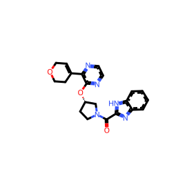 O=C(c1nc2ccccc2[nH]1)N1CC[C@H](Oc2nccnc2C2=CCOCC2)C1